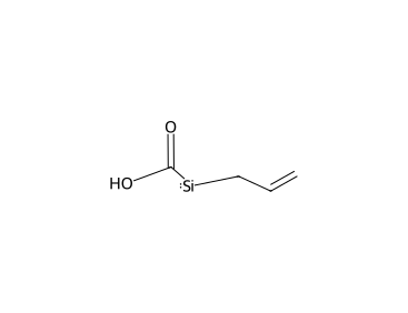 C=CC[Si]C(=O)O